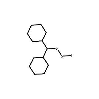 ISSC(C1CCCCC1)C1CCCCC1